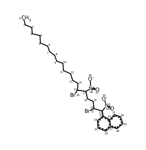 CCCCCCCCCCCCCCCC(Br)C(CCC(Br)C(c1cccc2ccccc12)[N+](=O)[O-])[N+](=O)[O-]